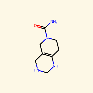 NC(=O)N1CCC2=C(CNCN2)C1